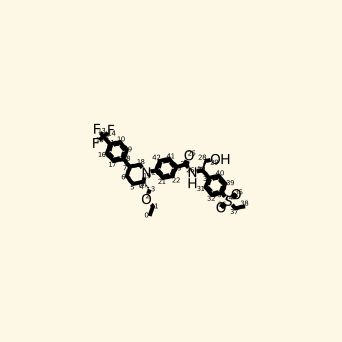 CCOC[C@@H]1CCC(c2ccc(C(F)(F)F)cc2)CN1c1ccc(C(=O)N[C@@H](CO)c2ccc(S(=O)(=O)CC)cc2)cc1